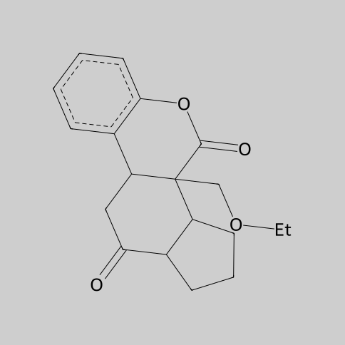 CCOCC12C(=O)Oc3ccccc3C1CC(=O)C1CCCC12